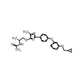 CC(=O)N[C@@H](C)COc1oc(-c2ccc(Oc3cccc(OCC4CC4)c3)cc2)nc1C